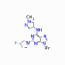 CC(C)n1cnc2c(Nc3cnn(C)c3)nc(N3CCC(F)C3)nc21